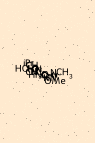 COc1cc(Nc2ncc(C(C)C)c(C(C)(C)O)n2)ccc1-c1nc(C)c[nH]1